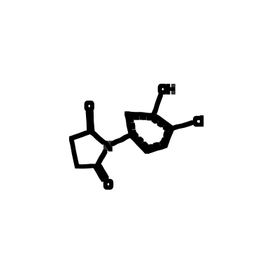 O=C1CCC(=O)N1c1ccc(Cl)c(O)c1